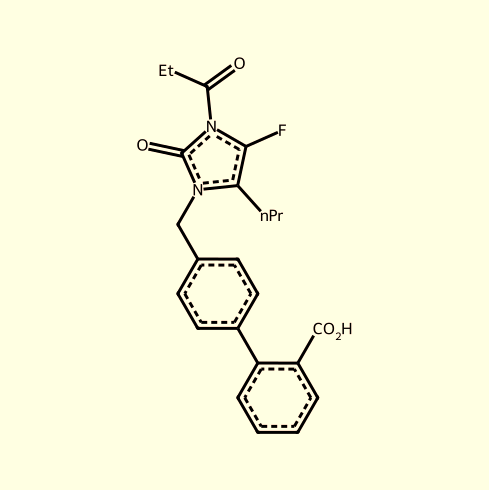 CCCc1c(F)n(C(=O)CC)c(=O)n1Cc1ccc(-c2ccccc2C(=O)O)cc1